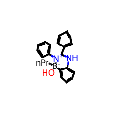 CCC[B-]1(O)c2ccccc2NC(c2ccccc2)=[N+]1c1ccccc1